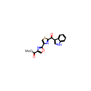 COC(=O)c1coc(-c2csc(C(=O)c3c[nH]c4ccccc34)n2)n1